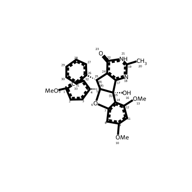 COc1ccc([C@@]23Oc4cc(OC)cc(OC)c4[C@]2(O)c2nc(C)[nH]c(=O)c2[C@H]3c2ccccc2)cc1